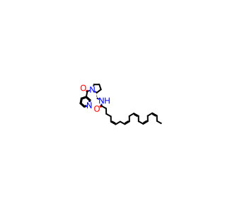 CC/C=C\C/C=C\C/C=C\C/C=C\C/C=C\CCCC(=O)NC[C@H]1CCCN1C(=O)c1cccnc1